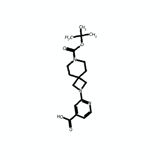 CC(C)(C)OC(=O)N1CCC2(CC1)CN(c1cc(C(=O)O)ccn1)C2